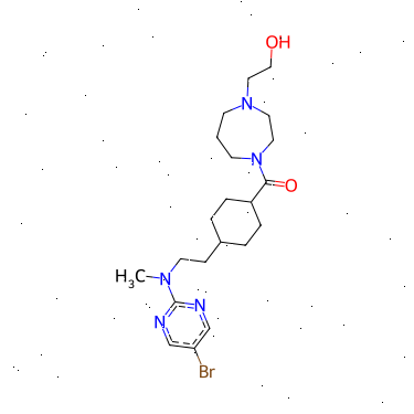 CN(CCC1CCC(C(=O)N2CCCN(CCO)CC2)CC1)c1ncc(Br)cn1